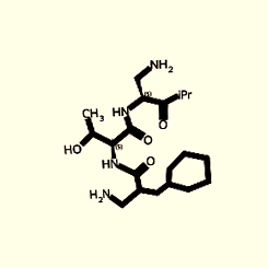 CC(C)C(=O)[C@H](CN)NC(=O)[C@@H](NC(=O)C(CN)CC1CCCCC1)C(C)O